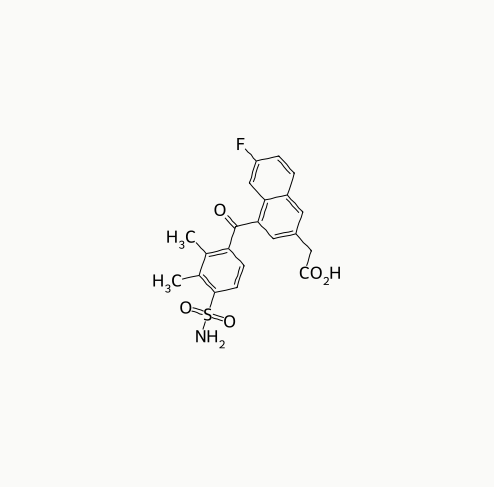 Cc1c(C(=O)c2cc(CC(=O)O)cc3ccc(F)cc23)ccc(S(N)(=O)=O)c1C